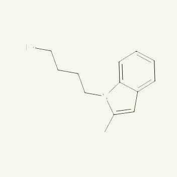 Cc1cc2ccccc2n1CCCCO